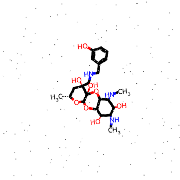 CN[C@@H]1[C@H](O)[C@H](NC)C2O[C@]3(O)C(OC2[C@H]1O)O[C@H](C)C[C@@]3(O)CNCc1cccc(O)c1